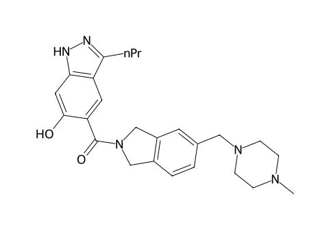 CCCc1n[nH]c2cc(O)c(C(=O)N3Cc4ccc(CN5CCN(C)CC5)cc4C3)cc12